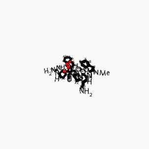 CN[C@@H](Cc1ccccc1)C(=O)N[C@@H](CCCCN)C(=O)N1CCC[C@H]1C(=O)C(C1CCCCC1)[C@@](N)(C(=O)[C@H](N)CC1CCCCC1)C(=O)[C@H]1CC[C@@H](NC(=N)N)CC1